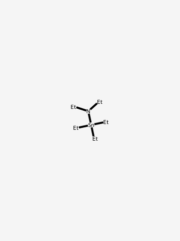 CC[N](CC)[Sn]([CH2]C)([CH2]C)[CH2]C